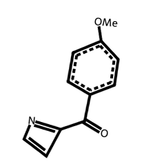 COc1ccc(C(=O)C2=NC=C2)cc1